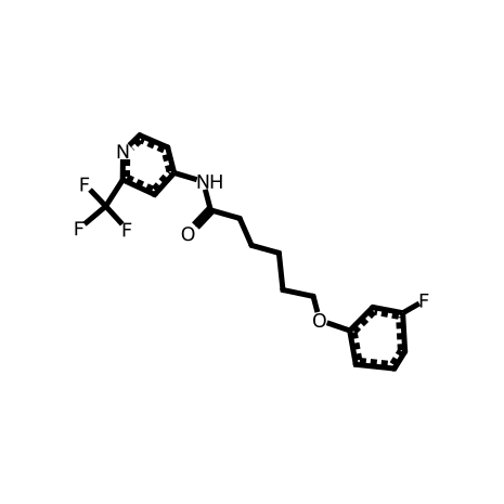 O=C(CCCCCOc1cccc(F)c1)Nc1ccnc(C(F)(F)F)c1